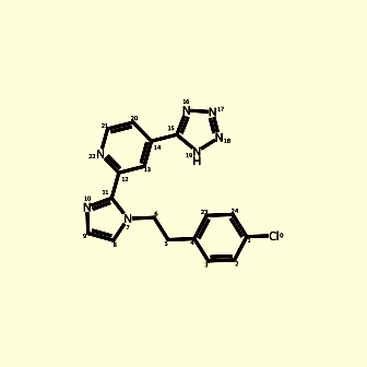 Clc1ccc(CCn2ccnc2-c2cc(-c3nnn[nH]3)ccn2)cc1